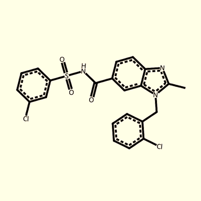 Cc1nc2ccc(C(=O)NS(=O)(=O)c3cccc(Cl)c3)cc2n1Cc1ccccc1Cl